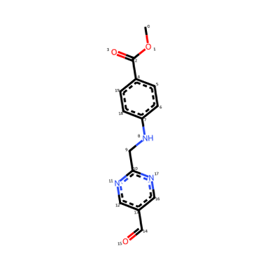 COC(=O)c1ccc(NCc2ncc(C=O)cn2)cc1